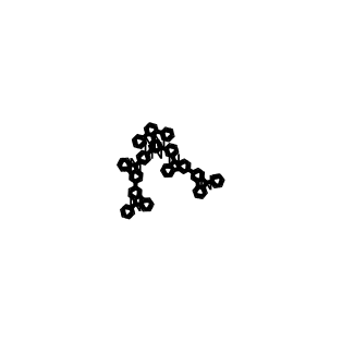 c1ccc(-c2cccc(-c3ccccc3)c2-c2nc(-c3ccc(-n4c5ccccc5c5cc(-c6ccc7c(c6)c6ccccc6n7-c6ccccc6)ccc54)cc3)nc(-c3cccc(-n4c5ccccc5c5cc(-c6ccc7c(c6)c6ccccc6n7-c6ccccc6)ccc54)c3)n2)cc1